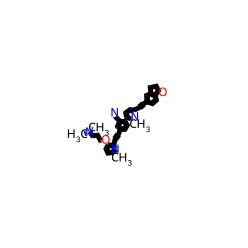 Cc1ccc(OCCCN(C)C)c(C#Cc2cccc(C#N)c2)n1.Cc1cccc(C#Cc2ccc3c(c2)CCC3=O)n1